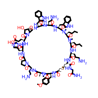 CCCC[C@H]1C(=O)N(C)[C@@H](CCCC)C(=O)N[C@@H](CCCN)C(=O)N[C@H](C(=O)NCC(N)=O)CSCC(=O)N[C@@H](Cc2ccc(OC)cc2)C(=O)N(C)[C@@H](C)C(=O)N[C@@H](CCN)C(=O)N2CCCC2C(=O)N[C@@H](Cc2cnc[nH]2)C(=O)N[C@@H](CCC(=O)O)C(=O)N2C[C@H](O)C[C@H]2C(=O)N[C@@H](Cc2c[nH]c3ccccc23)C(=O)N[C@@H](CCN)C(=O)N[C@@H](Cc2c[nH]c3ccccc23)C(=O)N1C